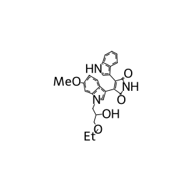 CCOCC(O)Cn1cc(C2=C(c3c[nH]c4ccccc34)C(=O)NC2=O)c2ccc(OC)cc21